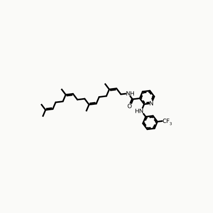 CC(C)=CCCC(C)=CCCC(C)=CCCC(C)=CCNC(=O)c1cccnc1Nc1cccc(C(F)(F)F)c1